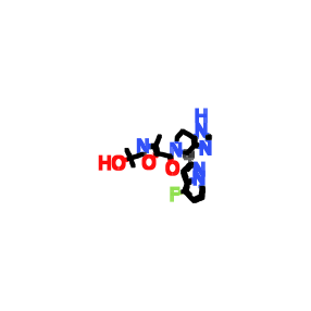 Cc1nc(C(C)(C)O)oc1C(=O)N1CCc2[nH]cnc2[C@@H]1c1cc2c(F)cccn2n1